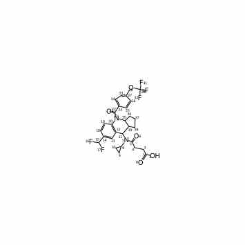 O=C(O)CCC(=O)N(C1CC1)C1c2cc(C(F)F)ccc2N(C(=O)c2ccc(OC(F)(F)F)cc2)C2CCCC21